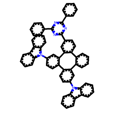 c1ccc(-c2nc(-c3ccccc3)nc(-c3ccc4c(c3)-c3cc(-n5c6ccccc6c6ccccc65)ccc3-c3ccc(-n5c6ccccc6c6ccccc65)cc3-c3ccccc3-4)n2)cc1